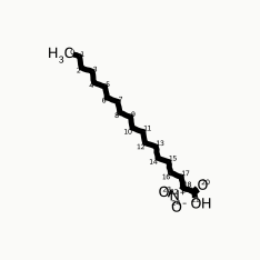 CCCCCCCCCCCCCCCCCCC(C(=O)O)[N+](=O)[O-]